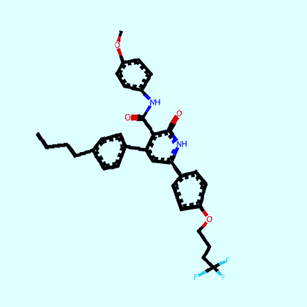 CCCCc1ccc(-c2cc(-c3ccc(OCCCC(F)(F)F)cc3)[nH]c(=O)c2C(=O)Nc2ccc(OC)cc2)cc1